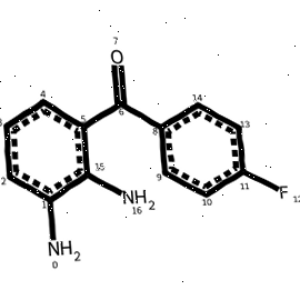 Nc1cccc(C(=O)c2ccc(F)cc2)c1N